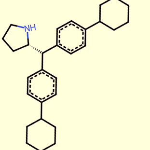 c1cc(C(c2ccc(C3CCCCC3)cc2)[C@@H]2CCCN2)ccc1C1CCCCC1